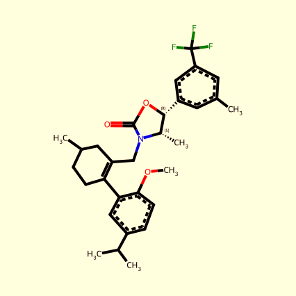 COc1ccc(C(C)C)cc1C1=C(CN2C(=O)O[C@H](c3cc(C)cc(C(F)(F)F)c3)[C@@H]2C)CC(C)CC1